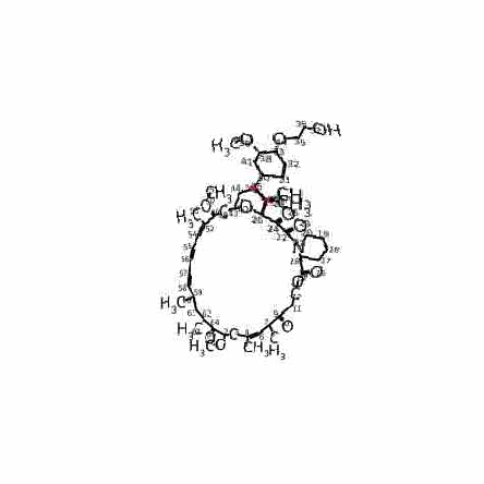 COC1CC(C)=CC(C)C(=O)CCOC(=O)C2CCCCN2C(=O)C(=O)[C@@]2(C(C)C[C@@H]3CC[C@@H](OCCO)[C@H](OC)C3)OC(CCC2C)CC(OC)C(C)=CC=CC=CC(C)CC(C)C1=O